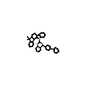 CC1(C)c2ccccc2-c2c1ccc1c3ccccc3n(C3=NC4C=CC=CC4C(c4ccc(-c5ccccc5)cc4)=N3)c21